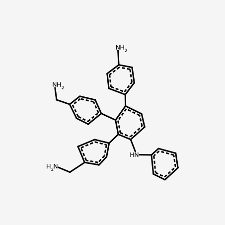 NCc1ccc(-c2c(Nc3ccccc3)ccc(-c3ccc(N)cc3)c2-c2ccc(CN)cc2)cc1